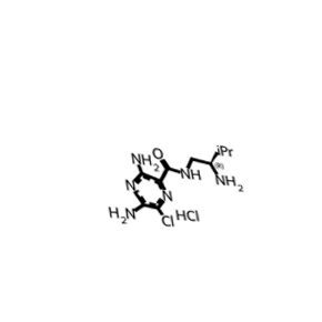 CC(C)[C@@H](N)CNC(=O)c1nc(Cl)c(N)nc1N.Cl